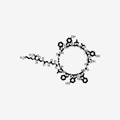 CC(C)C[C@@H]1NC(=O)[C@H](Cc2ccc(O)cc2)NC(=O)[C@H](Cc2ccccc2)NC(=O)CSC[C@@H](C(=O)NCC(=O)NCC(=O)NCC(=O)N[C@@H](CCCCN)C(N)=O)NC(=O)[C@H](CC(C)C)NC(=O)[C@H](Cc2ccccc2)N(C)C(=O)[C@H](Cc2ccc(O)cc2)NC(=O)[C@H](Cc2c[nH]c3ccccc23)NC(=O)CNC(=O)[C@H](CO)NC(=O)[C@H](Cc2ccc(O)cc2)NC(=O)[C@H](C(C)C)NC1=O